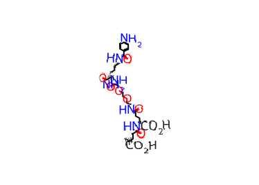 C[C@@H](CCC(=O)NC(CCC(=O)NCCOCCOCC(=O)N[C@@H](CCCCNC(=O)c1ccc(N)cc1)C(N)=O)C(=O)O)C(=O)O